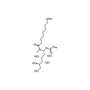 C=CC(=O)OC([C@H](O)[C@@H](O)[C@H](O)[C@H](O)CO)N(C)C(=O)CCCCCCCCCCCCCCCCC